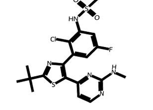 CNc1nccc(-c2sc(C(C)(C)C)nc2-c2cc(F)cc(NS(C)(=O)=O)c2Cl)n1